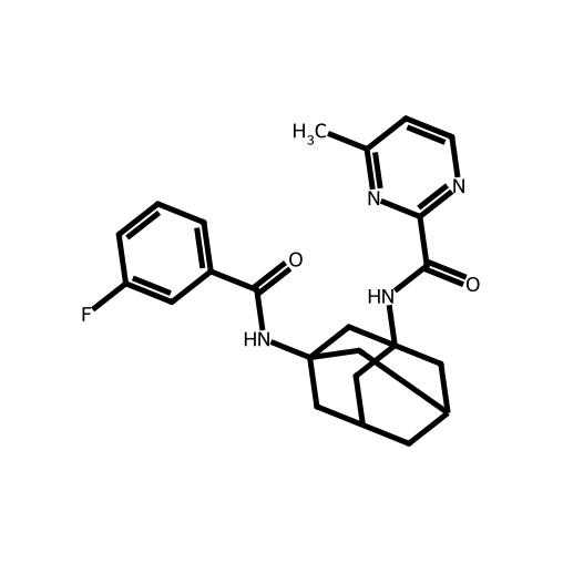 Cc1ccnc(C(=O)NC23CC4CC(CC(NC(=O)c5cccc(F)c5)(C4)C2)C3)n1